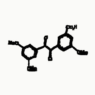 COc1cc(OC)cc(C(=O)C(=O)c2cc(OC)cc(C(=O)O)c2)c1